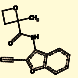 CC1(C(=O)Nc2c(C#N)oc3ccccc23)CCO1